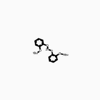 CC(C)(C)Oc1ccccc1[O][Zr][O]c1ccccc1OC(C)(C)C